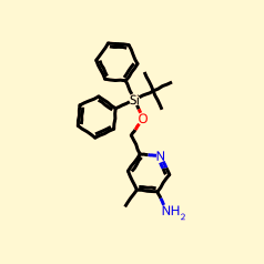 Cc1cc(CO[Si](c2ccccc2)(c2ccccc2)C(C)(C)C)ncc1N